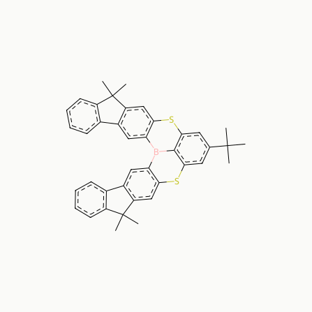 CC(C)(C)c1cc2c3c(c1)Sc1cc4c(cc1B3c1cc3c(cc1S2)C(C)(C)c1ccccc1-3)-c1ccccc1C4(C)C